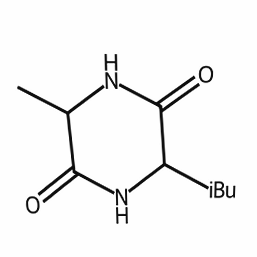 CCC(C)C1NC(=O)C(C)NC1=O